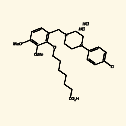 COc1ccc(CN2CCN(c3ccc(Cl)cc3)CC2)c(OCCCCCCC(=O)O)c1OC.Cl.Cl